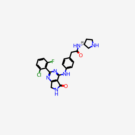 O=C(Cc1ccc(Nc2nc(-c3c(F)cccc3Cl)nc3c2C(=O)NC3)cc1)N[C@@H]1CCNC1